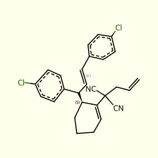 C=CCC(C#N)(C#N)C1=CCCC[C@H]1C(/C=C/c1ccc(Cl)cc1)c1ccc(Cl)cc1